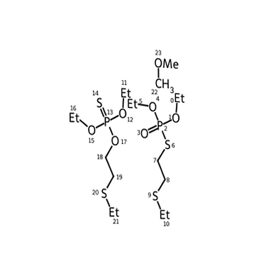 CCOP(=O)(OCC)SCCSCC.CCOP(=S)(OCC)OCCSCC.COC